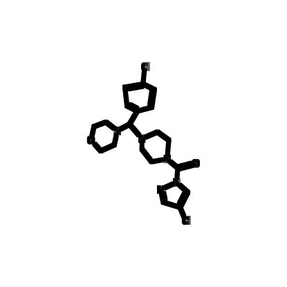 O=C(N1CCN(C(c2ccc(Cl)cc2)N2CCOCC2)CC1)n1cc(Cl)cn1